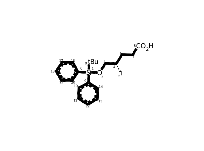 CC(C)(C)[Si](OC[C@@H](I)CCC(=O)O)(c1ccccc1)c1ccccc1